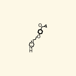 O=C(c1ccc(OCCCN2CCNCC2)cc1)C1CC1